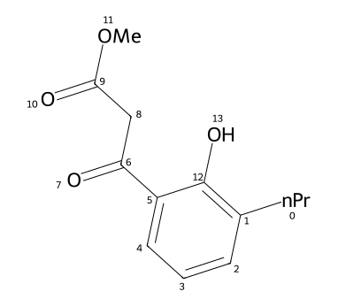 CCCc1cccc(C(=O)CC(=O)OC)c1O